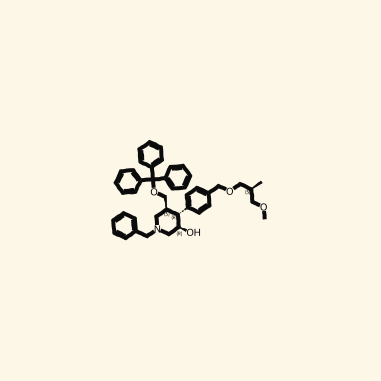 COC[C@H](C)COCc1ccc([C@H]2[C@H](COC(c3ccccc3)(c3ccccc3)c3ccccc3)CN(Cc3ccccc3)C[C@@H]2O)cc1